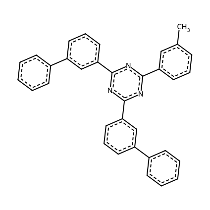 Cc1cccc(-c2nc(-c3cccc(-c4ccccc4)c3)nc(-c3cccc(-c4ccccc4)c3)n2)c1